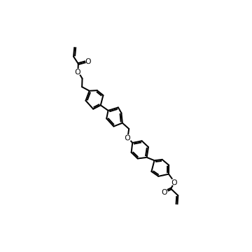 C=CC(=O)OCCc1ccc(-c2ccc(COc3ccc(-c4ccc(OC(=O)C=C)cc4)cc3)cc2)cc1